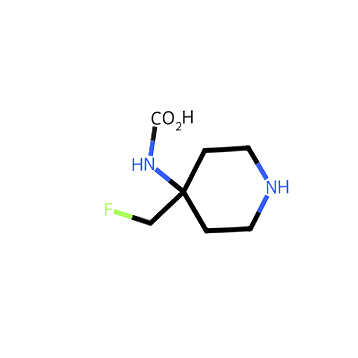 O=C(O)NC1(CF)CCNCC1